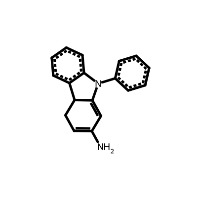 NC1=CCC2C(=C1)N(c1ccccc1)c1ccccc12